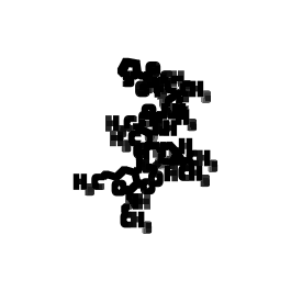 CCCCC(NC(=O)[C@@H]1[C@@H]2[C@H](CN1C(=O)[C@@H](NC(=O)N[C@H](CN(C)S(=O)(=O)c1cccs1)C(C)(C)C)C(C)(C)C)C2(C)C)C(=O)C(=O)NCC